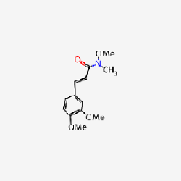 COc1ccc(C=CC(=O)N(C)OC)cc1OC